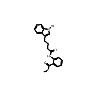 COC(=O)c1ccccc1NC(=O)CCCc1cn(O)c2ccccc12